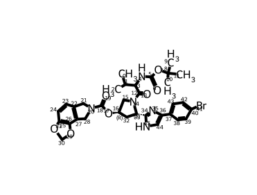 CC(C)C(NC(=O)OC(C)(C)C)C(=O)N1C[C@H](OC(=O)N2Cc3ccc4c(c3C2)OCO4)C[C@H]1c1nc(-c2ccc(Br)cc2)c[nH]1